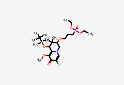 CCOP(=O)(CCCOC1Cn2cc(Br)c(=O)c(OC)c2C(O[Si](C)(C)C(C)(C)C)C1(C)C)OCC